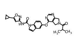 CC(C)C(=O)N1Cc2ncnc(Oc3ccc4c(ccn4C(=O)Nc4cc(C5CC5)on4)c3)c2C1